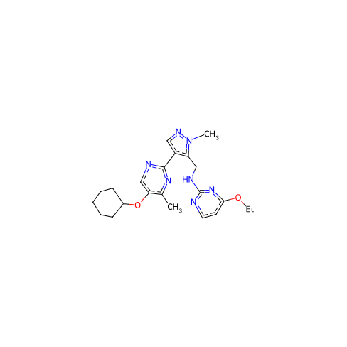 CCOc1ccnc(NCc2c(-c3ncc(OC4CCCCC4)c(C)n3)cnn2C)n1